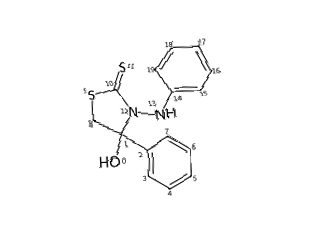 OC1(c2ccccc2)CSC(=S)N1Nc1ccccc1